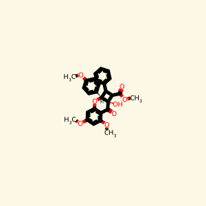 COC(=O)C1C(c2ccccc2)[C@]2(c3ccc(OC)cc3)Oc3cc(OC)cc(OC)c3C(=O)[C@]12O